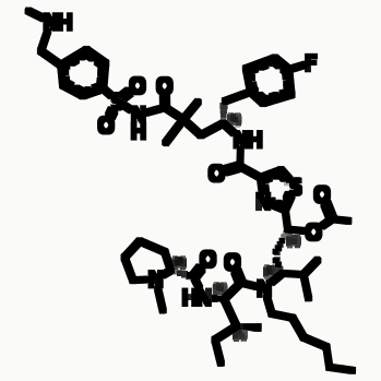 CCCCCCN(C(=O)[C@@H](NC(=O)[C@H]1CCCCN1C)[C@@H](C)CC)[C@H](C[C@@H](OC(C)=O)c1nc(C(=O)N[C@@H](Cc2ccc(F)cc2)CC(C)(C)C(=O)NS(=O)(=O)c2ccc(CNC)cc2)cs1)C(C)C